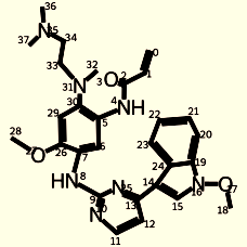 C=CC(=O)Nc1cc(Nc2nccc(-c3cn(OC)c4ccccc34)n2)c(OC)cc1N(C)CCN(C)C